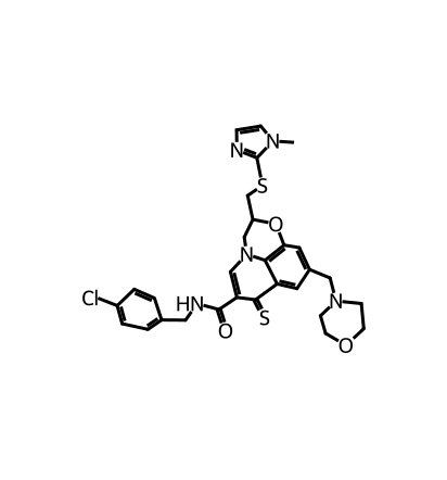 Cn1ccnc1SCC1Cn2cc(C(=O)NCc3ccc(Cl)cc3)c(=S)c3cc(CN4CCOCC4)cc(c32)O1